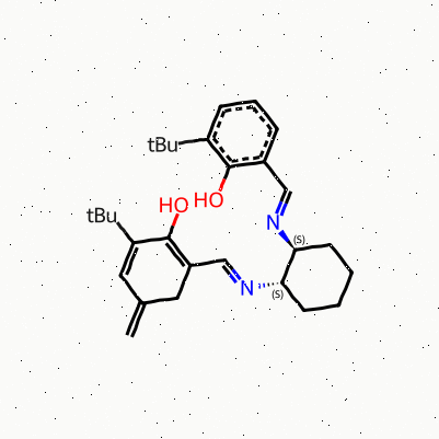 C=C1C=C(C(C)(C)C)C(O)=C(C=N[C@H]2CCCC[C@@H]2N=Cc2cccc(C(C)(C)C)c2O)C1